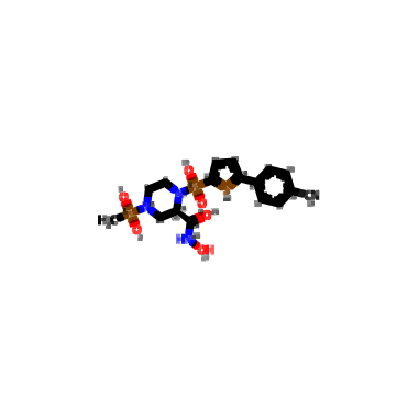 CS(=O)(=O)N1CCN(S(=O)(=O)c2ccc(-c3ccc(C#N)cc3)s2)[C@@H](C(=O)NO)C1